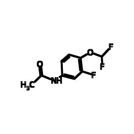 CC(=O)Nc1ccc(OC(F)F)c(F)c1